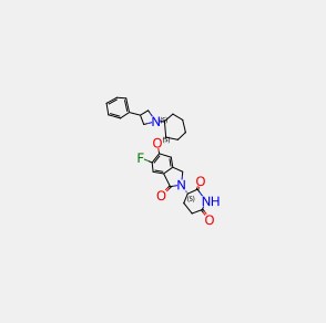 O=C1CC[C@H](N2Cc3cc(O[C@H]4CCCC[C@@H]4N4CC(c5ccccc5)C4)c(F)cc3C2=O)C(=O)N1